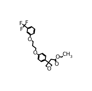 CCOC(=O)CC1(c2ccc(OCCCOc3cccc(C(F)(F)F)c3)cc2)COC1